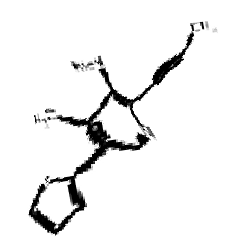 CC#Cc1ncc(-c2cccs2)c(C)c1NC